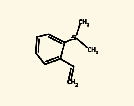 C=Cc1ccccc1[Si](C)C